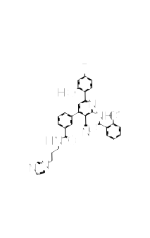 COc1ccccc1C(=O)Nc1nc(-c2ccc(F)cc2O)cc(-c2cccc(C(=O)NCCCn3ccnc3)c2)c1C#N